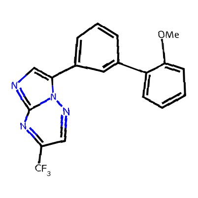 COc1ccccc1-c1cccc(-c2cnc3nc(C(F)(F)F)cnn23)c1